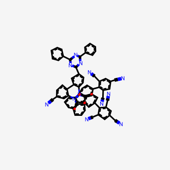 N#Cc1cc(C#N)c(-c2ccc3c(c2)c2ccccc2n3-c2ccc(-c3nc(-c4ccccc4)nc(-c4ccccc4)n3)cc2-c2ccc(C#N)cc2-n2c3ccccc3c3cc(-c4c(C#N)cc(C#N)cc4C#N)ccc32)c(C#N)c1